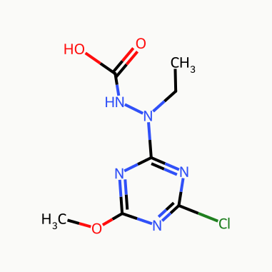 CCN(NC(=O)O)c1nc(Cl)nc(OC)n1